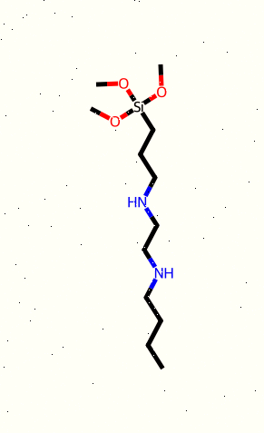 CCCCNCCNCCC[Si](OC)(OC)OC